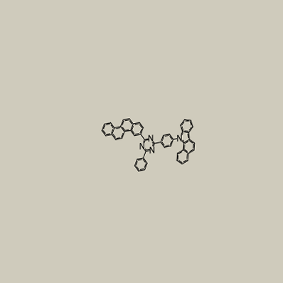 c1ccc(-c2nc(-c3ccc(-n4c5ccccc5c5ccc6ccccc6c54)cc3)nc(-c3ccc4ccc5c6ccccc6ccc5c4c3)n2)cc1